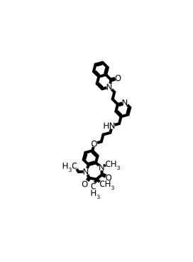 CCN1C(=O)C(C)(C)C(=O)N(C)c2cc(OCCCNCc3ccnc(CCn4ccc5ccccc5c4=O)c3)ccc21